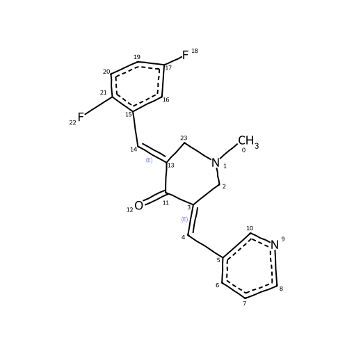 CN1C/C(=C\c2cccnc2)C(=O)/C(=C/c2cc(F)ccc2F)C1